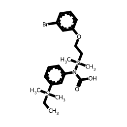 CC[Si](C)(C)c1cccc(N(C(=O)O)[Si](C)(C)CCOc2cccc(Br)c2)c1